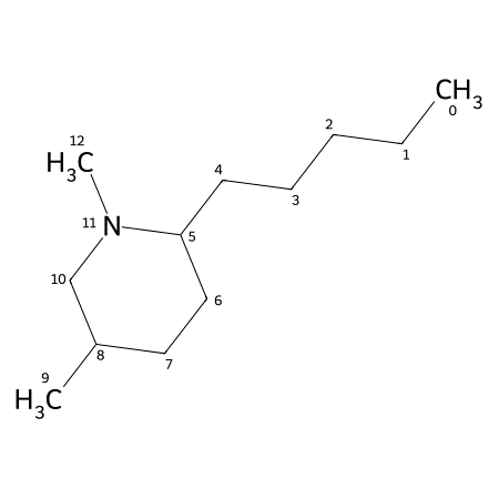 CCCCCC1CCC(C)CN1C